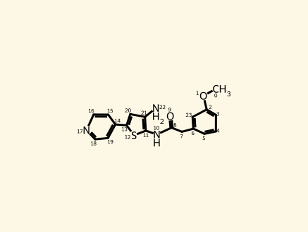 COc1cccc(CC(=O)Nc2sc(-c3ccncc3)cc2N)c1